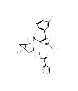 Nc1nc(C(=O)N2[C@H](CNC(=O)c3ccon3)C[C@@H]3C[C@@H]32)c(-c2cccc(F)c2)s1